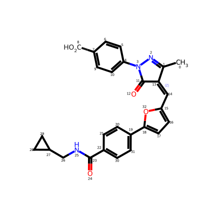 CC1=NN(c2ccc(C(=O)O)cc2)C(=O)/C1=C\c1ccc(-c2ccc(C(=O)NCC3CC3)cc2)o1